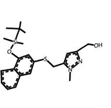 Cn1nc(CO)cc1CSc1cc(O[Si](C)(C)C(C)(C)C)c2ccccc2c1